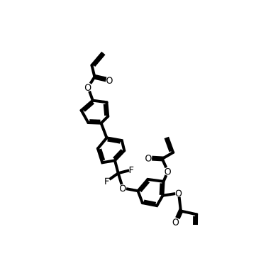 C=CC(=O)Oc1ccc(-c2ccc(C(F)(F)Oc3ccc(OC(=O)C=C)c(OC(=O)C=C)c3)cc2)cc1